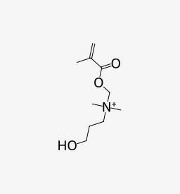 C=C(C)C(=O)OC[N+](C)(C)CCCO